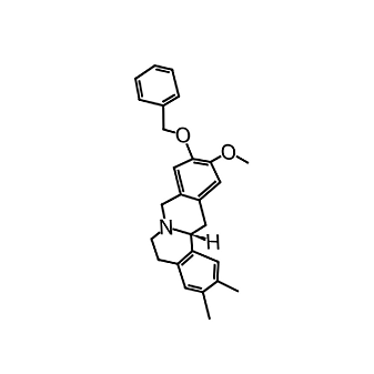 COc1cc2c(cc1OCc1ccccc1)CN1CCc3cc(C)c(C)cc3[C@H]1C2